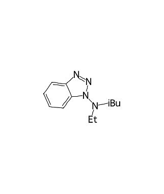 CCC(C)N(CC)n1nnc2ccccc21